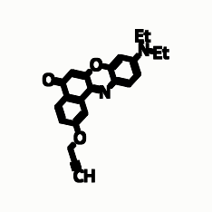 C#CCOc1ccc2c(=O)cc3oc4cc(N(CC)CC)ccc4nc-3c2c1